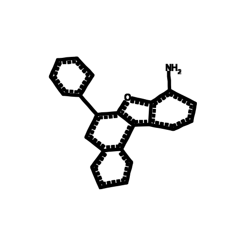 Nc1cccc2c1oc1c(-c3ccccc3)cc3ccccc3c12